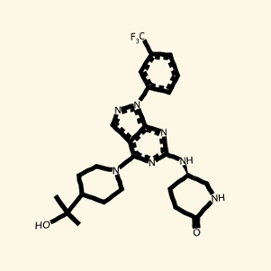 CC(C)(O)C1CCN(c2nc(N[C@@H]3CCC(=O)NC3)nc3c2cnn3-c2cccc(C(F)(F)F)c2)CC1